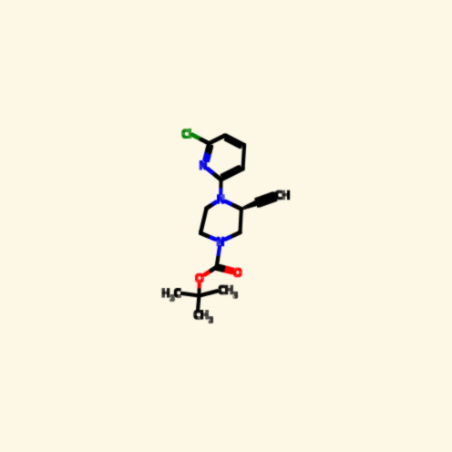 C#C[C@H]1CN(C(=O)OC(C)(C)C)CCN1c1cccc(Cl)n1